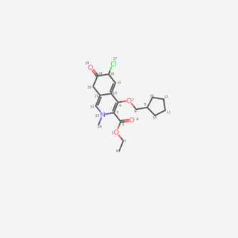 CCOC(=O)C1=C(OCC2CCCC2)C2=CC(Cl)C(=O)CC2=CN1C